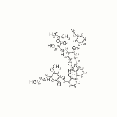 COc1cc(OCc2cccc(-c3cccc4c3cnn4Cc3cc(OCc4cncc(C#N)c4)c(CNC(CO)C(=O)OC(C)C)cc3Cl)c2C)c(Cl)cc1CNCCO